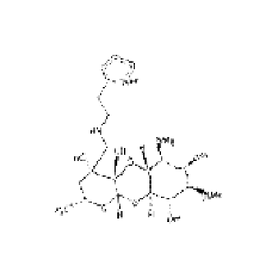 CN[C@@H]1[C@H](O)[C@H](NC)[C@H]2O[C@]3(O)[C@H](O[C@@H]2[C@H]1O)O[C@H](C)C[C@@]3(O)CNCCc1ccc[nH]1